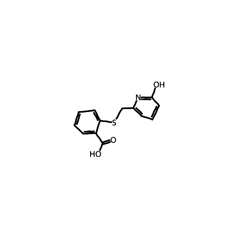 O=C(O)c1ccccc1SCc1cccc(O)n1